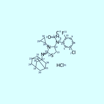 CC(=O)N(c1cc(Cl)ccc1F)C1CSC(=NC23CC4CC(CC(C4)C2)C3)N1C1CC1.Cl